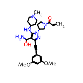 C=CC(=O)N1CC[C@H](n2nc(C#Cc3cc(OC)cc(OC)c3)c(C(N)O)c2NC2CCN(C)CC2)C1